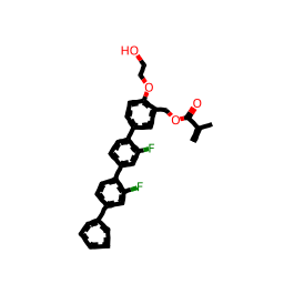 C=C(C)C(=O)OCc1cc(-c2ccc(-c3ccc(-c4ccccc4)cc3F)cc2F)ccc1OCCO